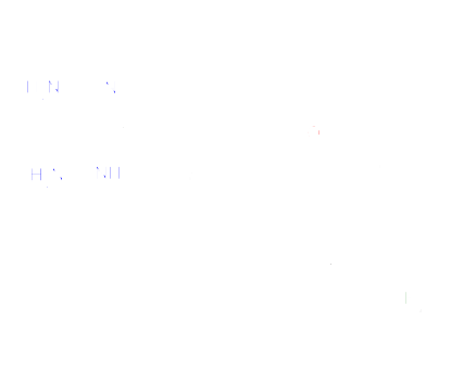 N/N=C(\NN)c1ccc(Oc2ccc(F)cc2)cc1